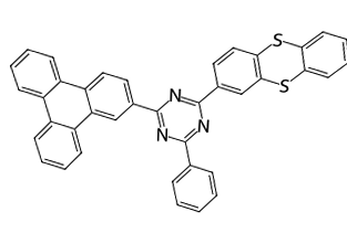 c1ccc(-c2nc(-c3ccc4c(c3)Sc3ccccc3S4)nc(-c3ccc4c5ccccc5c5ccccc5c4c3)n2)cc1